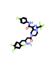 NC(CC(=O)N1CCn2c(C(F)(F)F)nc(C(=O)Nc3ccc(F)cc3)c2C1)Cc1cc(F)c(F)cc1F